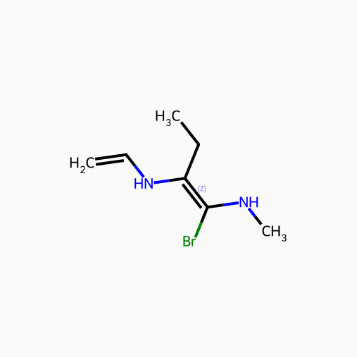 C=CN/C(CC)=C(\Br)NC